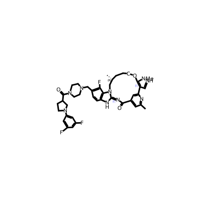 CN/C1=C(\C=N)c2cc(cc(C)n2)C(=O)/N=C2\Nc3ccc(CN4CCN(C(=O)C5CCN(c6cc(F)cc(F)c6)C5)CC4)c(F)c3N2C[C@H](C)CCCO1